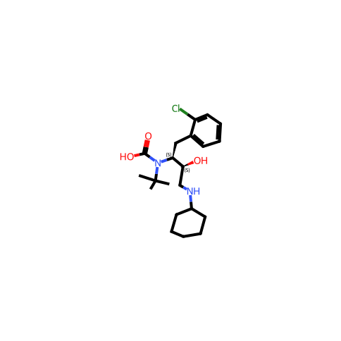 CC(C)(C)N(C(=O)O)[C@@H](Cc1ccccc1Cl)[C@@H](O)CNC1CCCCC1